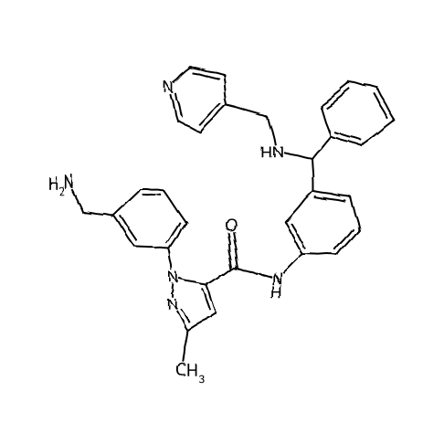 Cc1cc(C(=O)Nc2cccc(C(NCc3ccncc3)c3ccccc3)c2)n(-c2cccc(CN)c2)n1